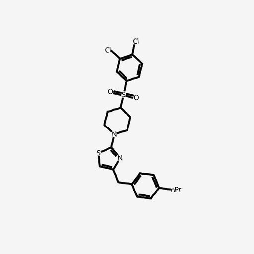 CCCc1ccc(Cc2csc(N3CCC(S(=O)(=O)c4ccc(Cl)c(Cl)c4)CC3)n2)cc1